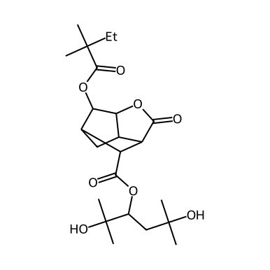 CCC(C)(C)C(=O)OC1C2CC3C1OC(=O)C3C2C(=O)OC(CC(C)(C)O)C(C)(C)O